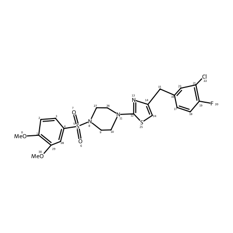 COc1ccc(S(=O)(=O)N2CCN(c3nc(Cc4ccc(F)c(Cl)c4)cs3)CC2)cc1OC